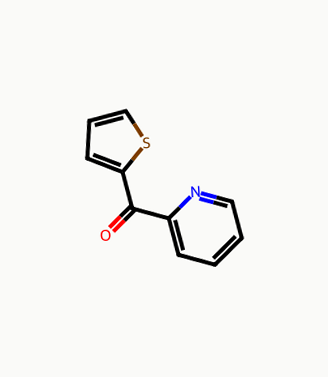 O=C(c1ccccn1)c1cccs1